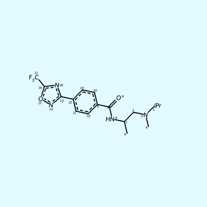 CC(CN(C)C(C)C)NC(=O)c1ccc(-c2noc(C(F)(F)F)n2)cc1